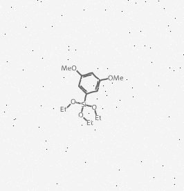 CCO[Si](OCC)(OCC)c1cc(OC)cc(OC)c1